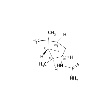 C[C@H]1[C@H]2C[C@H](C[C@H]1NC(N)=S)C2(C)C